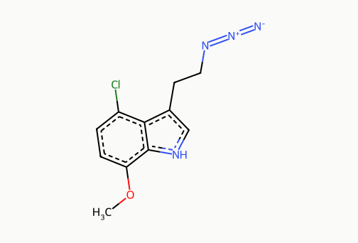 COc1ccc(Cl)c2c(CCN=[N+]=[N-])c[nH]c12